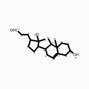 CCC1(C)C(CCC=O)CCC1C1CC=C2CC(O)CCC2(C)C1C